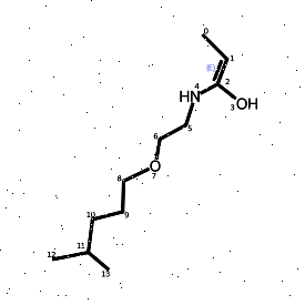 C/C=C(/O)NCCOCCCC(C)C